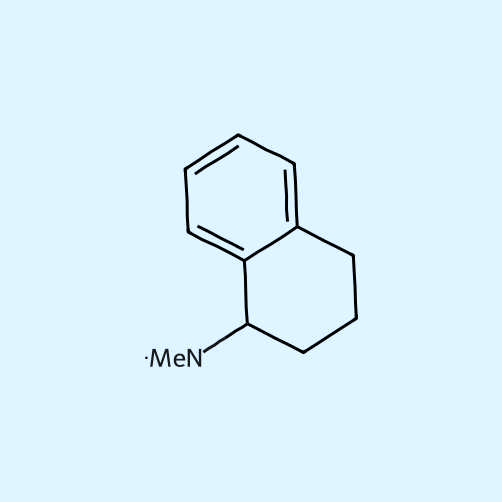 C[N]C1CCCc2ccccc21